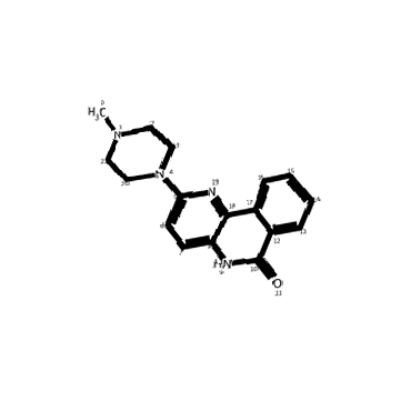 CN1CCN(c2ccc3[nH]c(=O)c4ccccc4c3n2)CC1